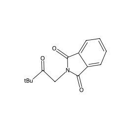 CC(C)(C)C(=O)CN1C(=O)c2ccccc2C1=O